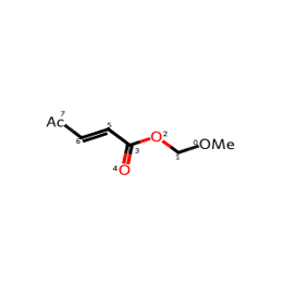 COCOC(=O)C=CC(C)=O